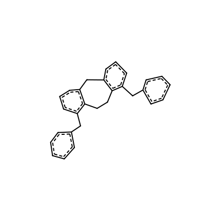 c1ccc(Cc2cccc3c2CCc2c(Cc4ccccc4)cccc2C3)cc1